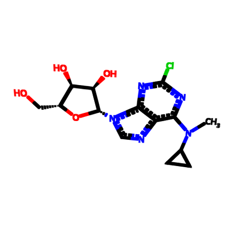 CN(c1nc(Cl)nc2c1ncn2[C@@H]1O[C@H](CO)[C@@H](O)[C@H]1O)C1CC1